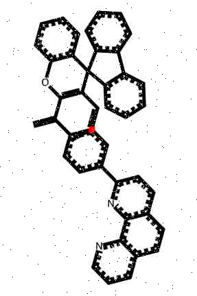 C=C(C1=C(/C=C\C)C2(c3ccccc3O1)c1ccccc1-c1ccccc12)c1ccc(-c2ccc3ccc4cccnc4c3n2)cc1